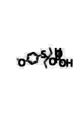 CCC(CC)(O[PH](=O)O)Sc1ccc(OC)cc1